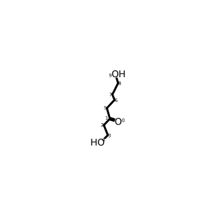 O=C(CCO)CCCCO